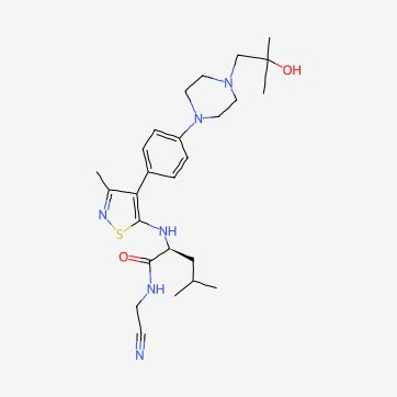 Cc1nsc(N[C@@H](CC(C)C)C(=O)NCC#N)c1-c1ccc(N2CCN(CC(C)(C)O)CC2)cc1